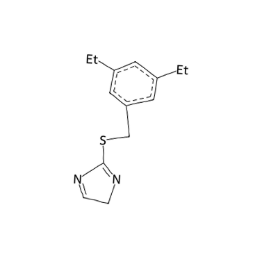 CCc1cc(CC)cc(CSC2=NCC=N2)c1